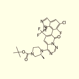 C[C@H]1CN(C(=O)OC(C)(C)C)CCN1c1ncnn2c(=O)c(-c3c(F)c(Cl)cc4cn[nH]c34)c(C(F)(F)F)cc12